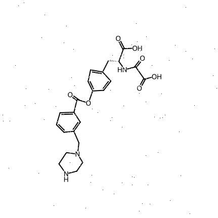 O=C(O)C(=O)N[C@H](Cc1ccc(OC(=O)c2cccc(CN3CCNCC3)c2)cc1)C(=O)O